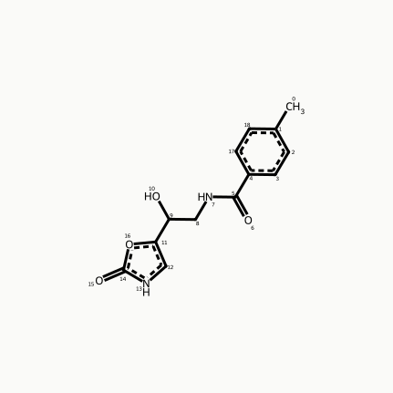 Cc1ccc(C(=O)NCC(O)c2c[nH]c(=O)o2)cc1